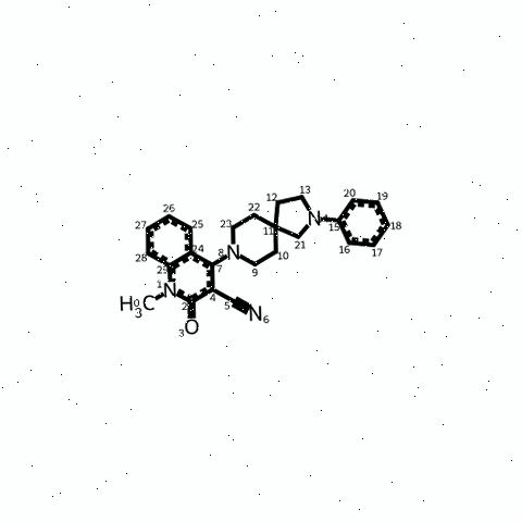 Cn1c(=O)c(C#N)c(N2CCC3(CCN(c4ccccc4)C3)CC2)c2ccccc21